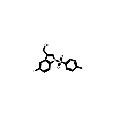 Cc1ccc(S(=O)(=O)n2cc(CO)c3cc(F)ccc32)cc1